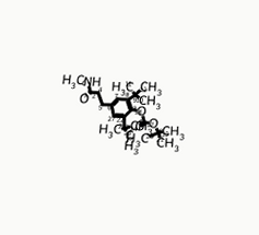 CNC(=O)CCc1cc(C(C)(C)C)c(OC(=O)OC(C)(C)C)c(C(C)(C)C)c1